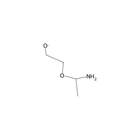 CC(N)OCC[O]